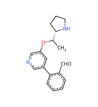 CC(Oc1cncc(-c2ccccc2C=O)c1)[C@@H]1CCCN1